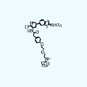 CC(=O)Nc1nc2ccc(-c3cnc(Cl)c(NC(=O)Cc4ccc(OCCOCCNC(=O)OC(C)(C)C)cc4)c3)cc2s1